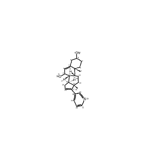 C[C@]12CCC(O)CC1=CC(O)[C@@H]1[C@H]2CC[C@]2(C)C(c3cccnc3)=CC[C@@H]12